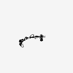 C=C[C@]1(C)CC[C@@H](C(=C)CN2CCC(COC(=O)CCC(=O)CCCOc3no[n+](O)c3S(=O)(=O)c3ccccc3)CC2)C[C@H]1C(C)(C)CCl